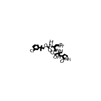 CC(C)CC(NC(=O)OCC(C)(C)c1cccc(Cl)c1)C(=O)NC(C)(CO)CC1CCNC1=O